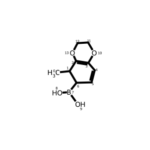 CC1C2=C(C=CC1B(O)O)OCCO2